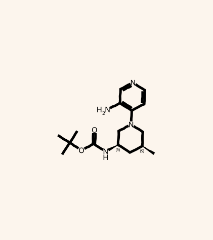 C[C@H]1C[C@@H](NC(=O)OC(C)(C)C)CN(c2ccncc2N)C1